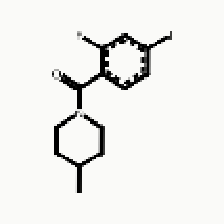 CC1CCN(C(=O)c2ccc(I)cc2F)CC1